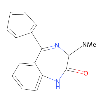 CNC1N=C(c2ccccc2)c2ccccc2NC1=O